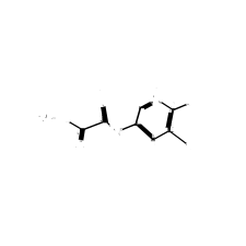 COC(=O)C(=O)Nc1cnc(C(F)(F)F)c(C)c1